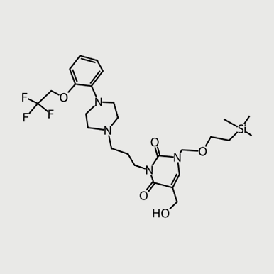 C[Si](C)(C)CCOCn1cc(CO)c(=O)n(CCCN2CCN(c3ccccc3OCC(F)(F)F)CC2)c1=O